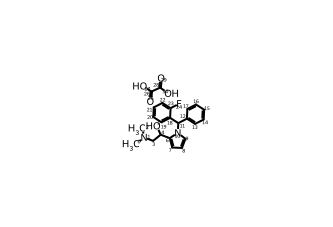 CN(C)CC(O)c1cccn1C(c1ccccc1)c1ccccc1F.O=C(O)C(=O)O